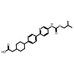 CC(C)COC(=O)Nc1ccc(-c2ccc(C3CCC(CC(=O)O)CC3)cc2)nc1